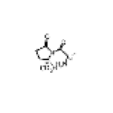 C[C@H](N)C(=O)N1C(=O)CC[C@H]1C(=O)O